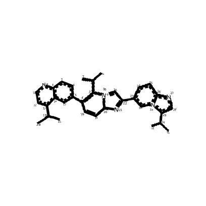 CC(C)C1=C(c2ccc3nccc(C(C)C)c3c2)C=CC2N=C(c3ccc4ncc(C(C)C)n4c3)C=[N+]12